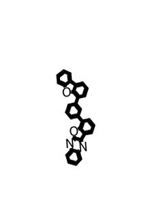 c1cc(-c2cccc3c2oc2ccccc23)cc(-c2cccc3c2oc2nc4ccccc4nc23)c1